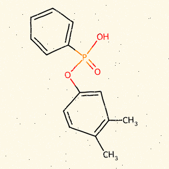 Cc1ccc(OP(=O)(O)c2ccccc2)cc1C